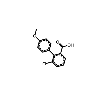 COc1ccc(-c2c(Cl)cccc2C(=O)O)cc1